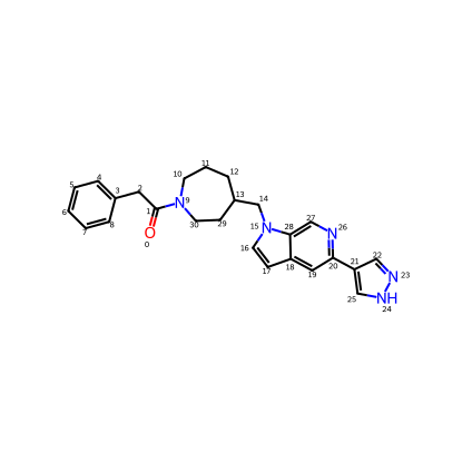 O=C(Cc1ccccc1)N1CCCC(Cn2ccc3cc(-c4cn[nH]c4)ncc32)CC1